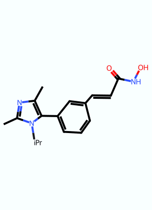 Cc1nc(C)n(C(C)C)c1-c1cccc(/C=C/C(=O)NO)c1